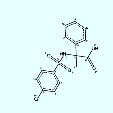 CC(NS(=O)(=O)c1ccc(Cl)cc1)(C(=O)O)c1ccccc1